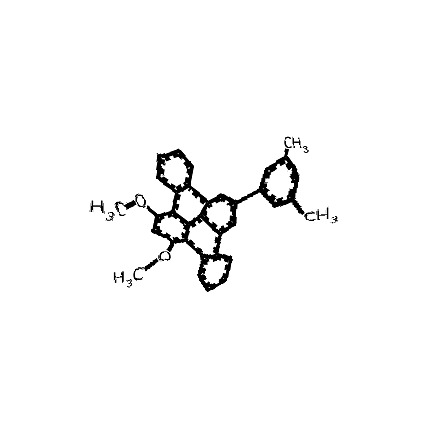 COc1cc(OC)c2c3ccccc3c3cc(-c4cc(C)cc(C)c4)cc4c5ccccc5c1c2c43